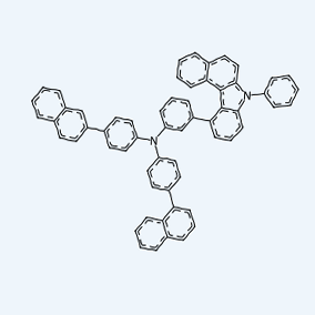 c1ccc(-n2c3cccc(-c4cccc(N(c5ccc(-c6ccc7ccccc7c6)cc5)c5ccc(-c6cccc7ccccc67)cc5)c4)c3c3c4ccccc4ccc32)cc1